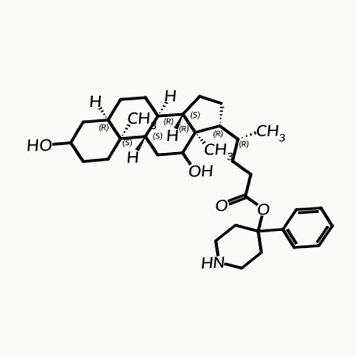 C[C@H](CCC(=O)OC1(c2ccccc2)CCNCC1)[C@H]1CC[C@H]2[C@@H]3CC[C@@H]4CC(O)CC[C@]4(C)[C@H]3CC(O)[C@]12C